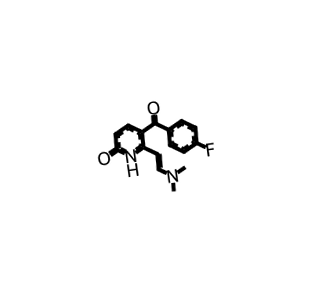 CN(C)C=Cc1[nH]c(=O)ccc1C(=O)c1ccc(F)cc1